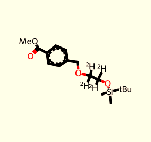 [2H]C([2H])(OCc1ccc(C(=O)OC)cc1)C([2H])([2H])O[Si](C)(C)C(C)(C)C